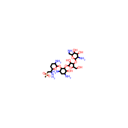 CS(=O)(=O)CC(N)C1CCC(N)C(OC2C(N)CC(N)C(O)C2OC2OC(CO)C(OC3OC(CN)C(O)C(O)C3N)C2O)O1